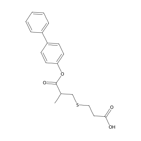 CC(CSCCC(=O)O)C(=O)Oc1ccc(-c2ccccc2)cc1